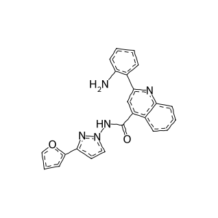 Nc1ccccc1-c1cc(C(=O)Nn2ccc(-c3ccco3)n2)c2ccccc2n1